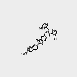 CCCN(CCC)Cc1ccc(-c2nc3ccc(CN(Cc4ncc[nH]4)C(C)c4ncc[nH]4)cc3n2C)cc1